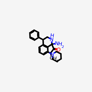 CCC(=O)C1(N)NCC(c2ccccc2)c2cccc(N3CCCCC3)c21